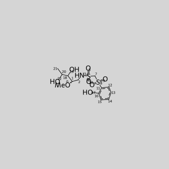 CO[C@H](CNS(=O)(=O)CS(=O)(=O)c1ccccc1O)C(O)C(C)O